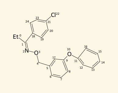 CCC(=NOCc1cccc(Oc2ccccc2)c1)c1ccc(Cl)cc1